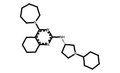 C1CCC(N2CC[C@H](Nc3nc4c(c(N5CCCCCC5)n3)CCCC4)C2)CC1